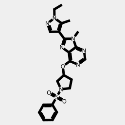 CCn1ncc(-c2nc3c(OC4CCN(S(=O)(=O)c5ccccc5)C4)ncnc3n2C)c1C